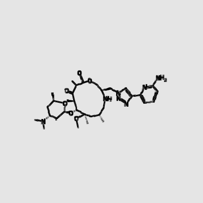 CO[C@]1(C)C[C@@H](C)CN[C@H](Cn2cc(-c3cccc(N)n3)nn2)COC(=O)C(C)C(=O)[C@H](C)[C@H]1O[C@H]1[CH][C@H](N(C)C)C[C@@H](C)O1